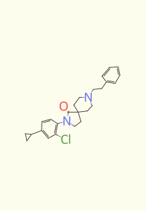 O=C1N(c2ccc(C3CC3)cc2Cl)CCC12CCN(CCc1ccccc1)CC2